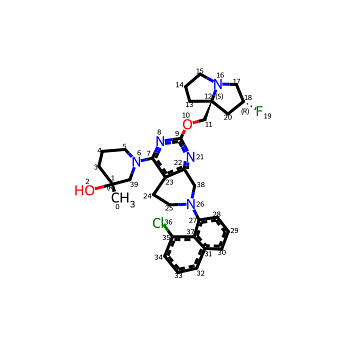 C[C@@]1(O)CCCN(c2nc(OC[C@@]34CCCN3C[C@H](F)C4)nc3c2CCN(c2cccc4cccc(Cl)c24)C3)C1